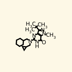 Cn1nc(C(C)(C)C)c2nc(N(CC3CCCCC3)CC3CC3)[nH]c(=O)c21